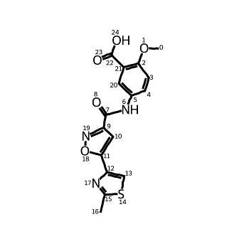 COc1ccc(NC(=O)c2cc(-c3csc(C)n3)on2)cc1C(=O)O